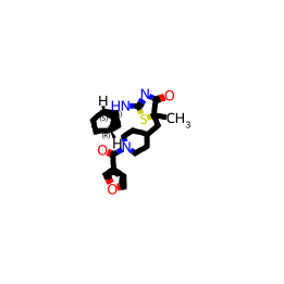 CC1(CC2CCN(C(=O)c3ccoc3)CC2)SC(N[C@H]2C[C@@H]3CC[C@H]2C3)=NC1=O